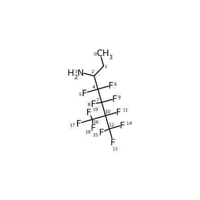 CCC(N)C(F)(F)C(F)(F)C(F)(C(F)(F)F)C(F)(F)F